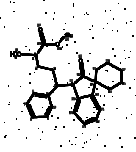 CN(CCC(c1ccccc1)N1C(=O)C2(CCCCC2)c2ccccc21)C(=O)OC(C)(C)C